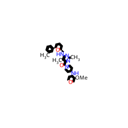 CO[C@@H]1COCC[C@@H]1NC1CCN(C(=O)c2nc(C)nc(NC[C@@H]3CCC[C@H](c4cccc(C)c4)O3)c2C)CC1